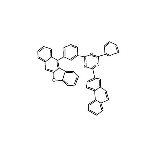 c1ccc(-c2nc(-c3cccc(-c4c5ccccc5cc5oc6ccccc6c45)c3)nc(-c3ccc4c(ccc5ccccc54)c3)n2)cc1